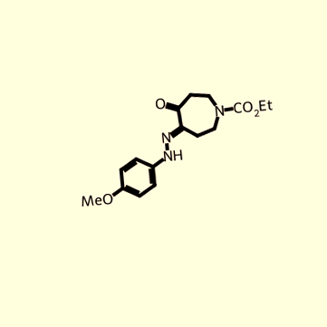 CCOC(=O)N1CCC(=O)/C(=N/Nc2ccc(OC)cc2)CC1